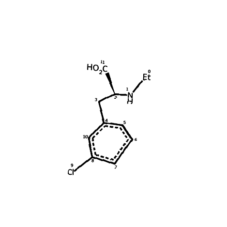 CCN[C@@H](Cc1cccc(Cl)c1)C(=O)O